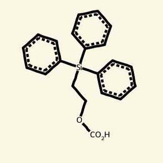 O=C(O)OCC[Si](c1ccccc1)(c1ccccc1)c1ccccc1